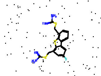 N=C(N)SCc1cccc2c1sc1c(CSC(=N)N)cc(F)cc12